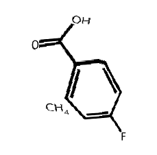 C.O=C(O)c1ccc(F)cc1